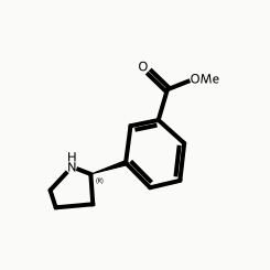 COC(=O)c1cccc([C@H]2CCCN2)c1